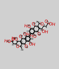 CC1OC(CC(=O)O)C(O)C2=C1C(=O)c1c(O)cc(-c3cc(O)c4c(c3O)C(=O)C3=C(C4=O)C(C)OC(CC(=O)O)C3O)c(O)c1C2=O